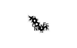 CC(C)(C)c1ccc(CC(C(N)=O)c2cccc(C(F)(F)F)n2)cc1